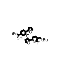 CC(C)C(S)c1ccc(-c2ccco2)c(Oc2ccoc2-c2ccc(CC(C)(C)C)c(F)n2)c1